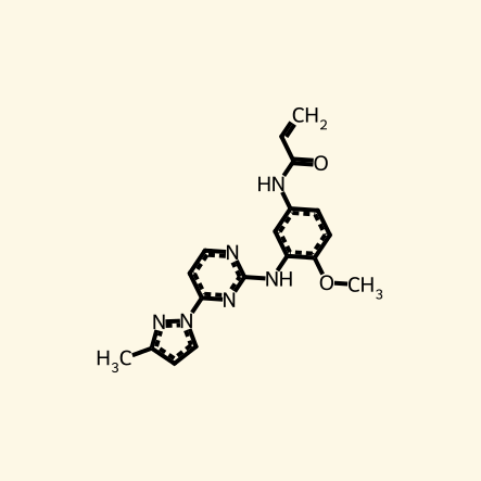 C=CC(=O)Nc1ccc(OC)c(Nc2nccc(-n3ccc(C)n3)n2)c1